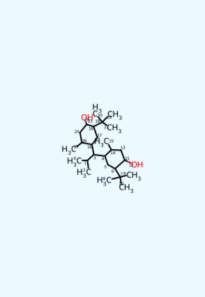 CC(C)C(C1CC(C(C)(C)C)C(O)CC1C)C1CC(C(C)(C)C)C(O)CC1C